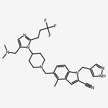 Cc1c(CN2CCC(n3c(CN(C)C)cnc3CCC(F)(F)F)CC2)ccc2c1cc(C#N)n2Cc1cn[nH]c1